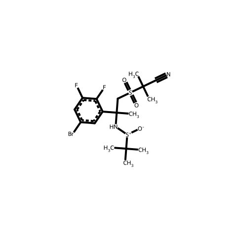 CC(CS(=O)(=O)C(C)(C)C#N)(N[S+]([O-])C(C)(C)C)c1cc(Br)cc(F)c1F